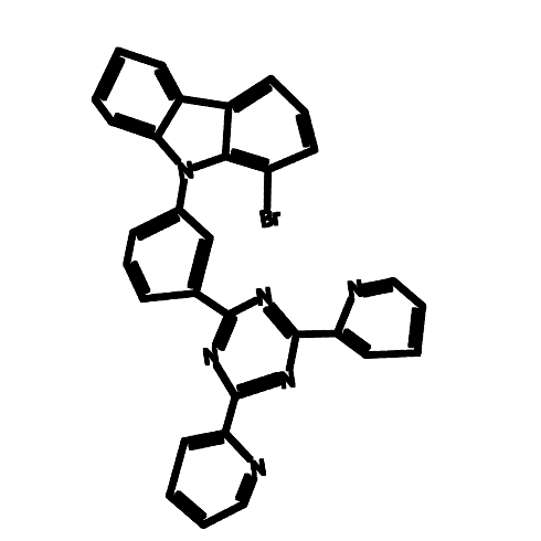 Brc1cccc2c3ccccc3n(-c3cccc(-c4nc(-c5ccccn5)nc(-c5ccccn5)n4)c3)c12